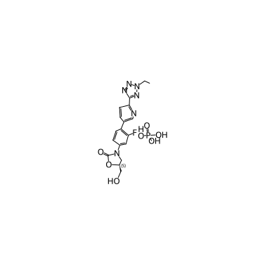 CCn1nnc(-c2ccc(-c3ccc(N4C[C@@H](CO)OC4=O)cc3F)cn2)n1.O=P(O)(O)O